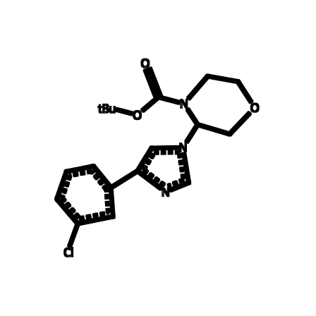 CC(C)(C)OC(=O)N1CCOCC1n1cnc(-c2cccc(Cl)c2)c1